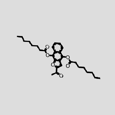 CCCCCCCC(=O)Oc1c2ccccc2c(OC(=O)CCCCCCC)c2oc(C(C)=O)cc12